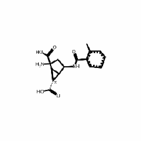 Cc1ccccc1C(=O)NC1CC(N)(C(=O)O)C2C1[C@@H]2C(=O)O